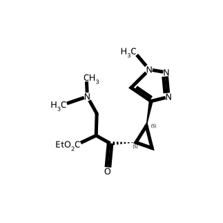 CCOC(=O)C(CN(C)C)C(=O)[C@H]1C[C@@H]1c1cn(C)nn1